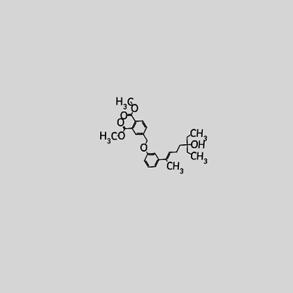 CCC(O)(CC)CCC=C(C)c1cccc(OCc2ccc(C(=O)OC)c(C(=O)OC)c2)c1